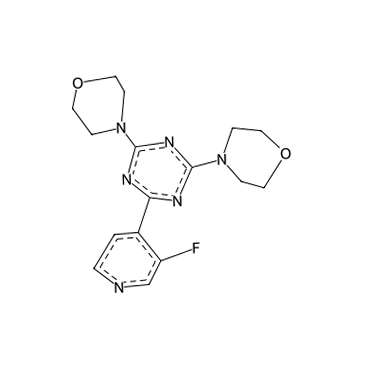 Fc1cnccc1-c1nc(N2CCOCC2)nc(N2CCOCC2)n1